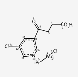 C[CH](C)[Mg][Cl].O=C(O)CCC(=O)c1cncc(Cl)c1